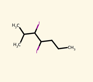 CCCC(I)C(I)C(C)C